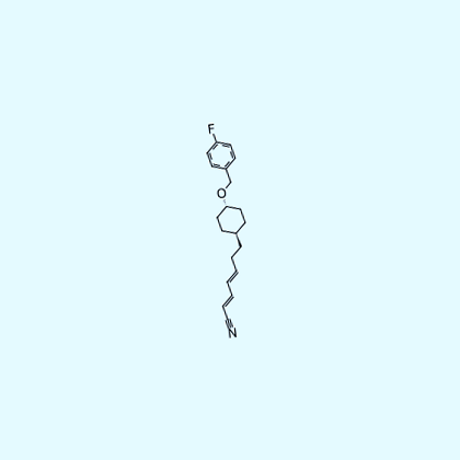 N#CC=CC=CCC[C@H]1CC[C@H](OCc2ccc(F)cc2)CC1